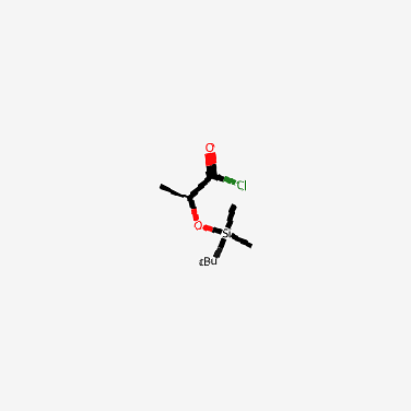 C[C@H](O[Si](C)(C)C(C)(C)C)C(=O)Cl